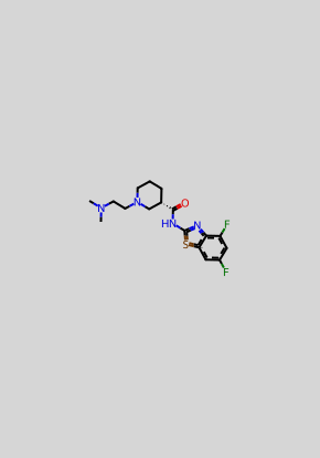 CN(C)CCN1CCC[C@H](C(=O)Nc2nc3c(F)cc(F)cc3s2)C1